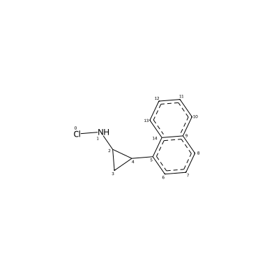 ClNC1CC1c1cccc2ccccc12